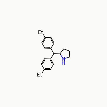 CCc1ccc(C(c2ccc(CC)cc2)C2CCCN2)cc1